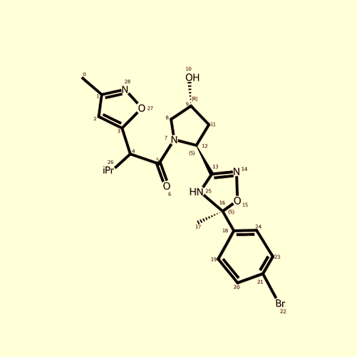 Cc1cc(C(C(=O)N2C[C@H](O)C[C@H]2C2=NO[C@@](C)(c3ccc(Br)cc3)N2)C(C)C)on1